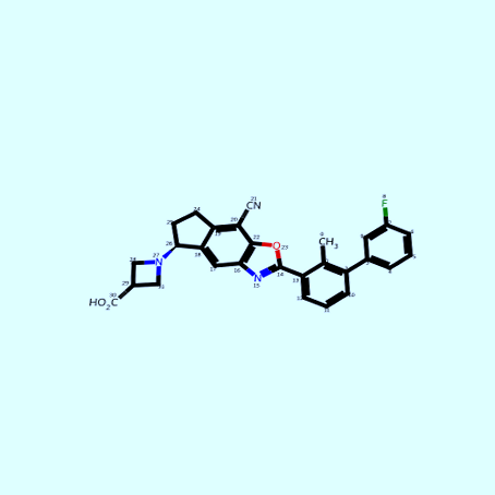 Cc1c(-c2cccc(F)c2)cccc1-c1nc2cc3c(c(C#N)c2o1)CC[C@@H]3N1CC(C(=O)O)C1